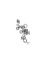 C=C(CN1CCC1)C(=O)NCC(NC(=O)C(Cc1nc2ccc(C(C)C)cc2s1)NC(=O)CC)C1CCCCC1